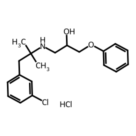 CC(C)(Cc1cccc(Cl)c1)NCC(O)COc1ccccc1.Cl